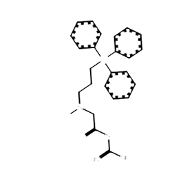 CN(CCC[P+](c1ccccc1)(c1ccccc1)c1ccccc1)CC(=O)NC(=N)N.Cl.[Cl-]